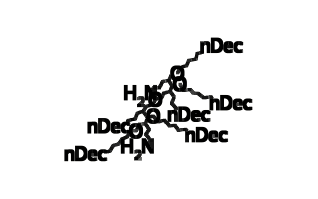 CCCCCCCCCCCCCCCCOCC(CCCN)C(OCCCCCCCCCCCCCCCC)C(CCCCCCCCCCCCC)CCOCCC(CCCCCCCCCCCCC)C(OCCCCCCCCCCCCCCCC)C(CCCN)COCCCCCCCCCCCCCCCC